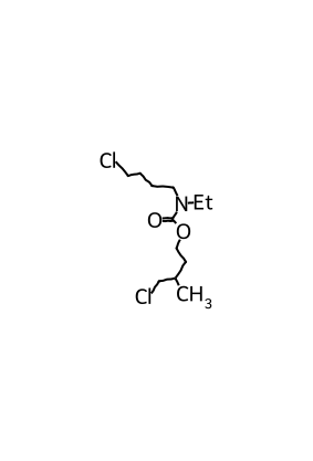 CCN(CCCCCl)C(=O)OCCC(C)CCl